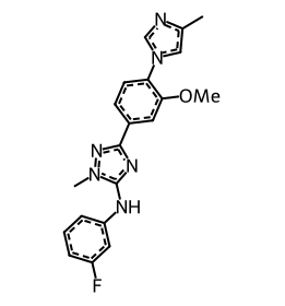 COc1cc(-c2nc(Nc3cccc(F)c3)n(C)n2)ccc1-n1cnc(C)c1